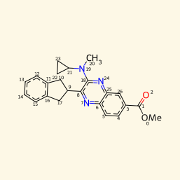 COC(=O)c1ccc2nc(C3Cc4ccccc4C3)c(N(C)C3CC3)nc2c1